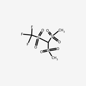 CS(=O)(=O)C(S(C)(=O)=O)S(=O)(=O)C(F)(F)F